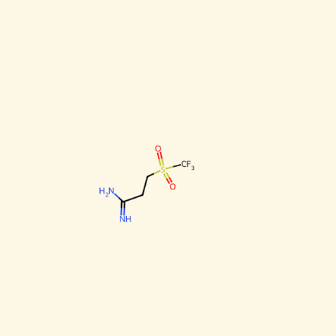 N=C(N)CCS(=O)(=O)C(F)(F)F